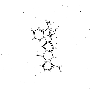 CCS(=O)(=O)[N+]1(c2ccc(Oc3c(OC)cccc3OC)cc2)CC=CC=C1CN